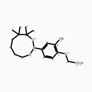 CC1(C)CCCCOB(c2ccc(OCC(=O)O)c(C#N)c2)OC1(C)C